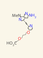 CNc1ncc(C#Cc2cc(OCCCCOCCC(=O)O)ccn2)c2cc(N)ncc12